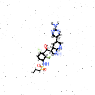 CCCS(=O)(=O)Nc1ccc(F)c(C(=O)c2c[nH]c3ncc(-c4cnc(N(C)C)nc4)cc23)c1F